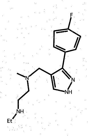 CCNCCN(C)Cc1c[nH]nc1-c1ccc(F)cc1